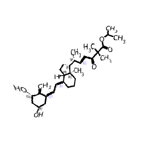 C=C1/C(=C\C=C2/CCC[C@]3(C)[C@@H]([C@H](C)/C=C/C(=O)C(C)(C)C(=O)OC(C)C)CC[C@@H]23)C[C@@H](O)C[C@@H]1O